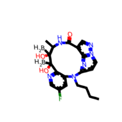 BC1(O)c2ncc(F)cc2N(CCCC)c2ccn3ncc(c3n2)C(=O)NC(C)C1(B)O